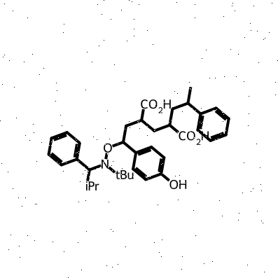 CC(CC(CC(CC(ON(C(c1ccccc1)C(C)C)C(C)(C)C)c1ccc(O)cc1)C(=O)O)C(=O)O)c1ccccc1